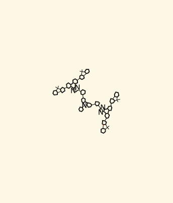 CC1(C)c2ccccc2-c2ccc(-c3ccc4c5ccc(-c6ccc7c(c6)C(C)(C)c6ccccc6-7)cc5c5nc(-c6cccc(-c7ccc8c(c7)c7cc(-c9cccc(-c%10cnc%11c%12cc(-c%13ccc%14c(c%13)C(C)(C)c%13ccccc%13-%14)ccc%12c%12ccc(-c%13ccc%14c(c%13)C(C)(C)c%13ccccc%13-%14)cc%12c%11n%10)c9)ccc7n8-c7ccccc7)c6)cnc5c4c3)cc21